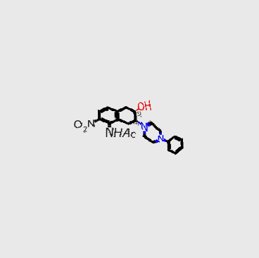 CC(=O)Nc1c([N+](=O)[O-])ccc2c1C[C@H](N1CCN(c3ccccc3)CC1)[C@@H](O)C2